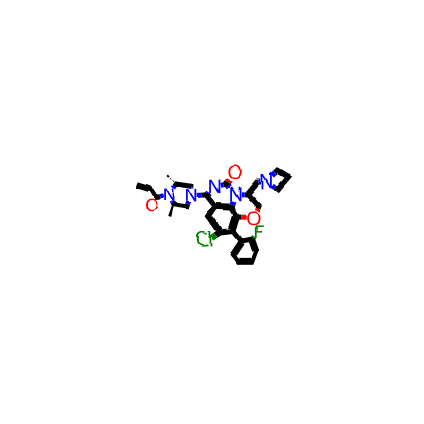 C=CC(=O)N1[C@H](C)CN(c2nc(=O)n3c4c(c(-c5ccccc5F)c(Cl)cc24)OCC3CN2CCC2)C[C@H]1C